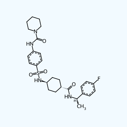 C[C@@H](NC(=O)[C@H]1CC[C@H](NS(=O)(=O)c2ccc(NC(=O)N3CCCCC3)cc2)CC1)c1ccc(F)cc1